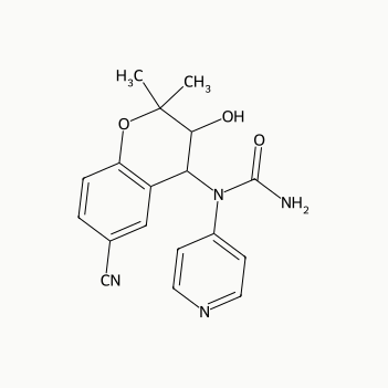 CC1(C)Oc2ccc(C#N)cc2C(N(C(N)=O)c2ccncc2)C1O